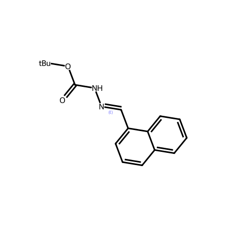 CC(C)(C)OC(=O)N/N=C/c1cccc2ccccc12